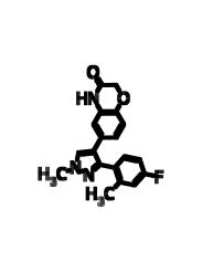 Cc1cc(F)ccc1-c1nn(C)cc1-c1ccc2c(c1)NC(=O)CO2